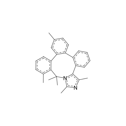 Cc1ccc2c(c1)-c1cccc(C)c1C(C)(C)n1c(C)nc(C)c1-c1ccccc1-2